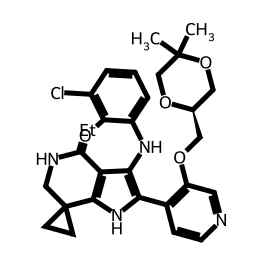 CCc1c(Cl)cccc1Nc1c(-c2ccncc2OC[C@@H]2COC(C)(C)CO2)[nH]c2c1C(=O)NCC21CC1